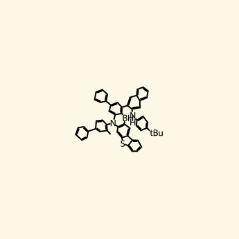 Cc1cc(-c2ccccc2)ccc1N1c2cc3sc4ccccc4c3cc2Bc2c(-c3cc4ccccc4cc3Nc3ccc(C(C)(C)C)cc3)cc(-c3ccccc3)cc21